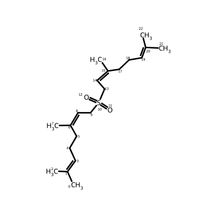 CC(C)=CCC/C(C)=C\CS(=O)(=O)C/C=C(/C)CCC=C(C)C